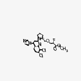 COC(=O)C(F)COC[C@@H]1CCCN1c1cc(-n2ccnc2)c2ccc(Cl)c(Cl)c2n1